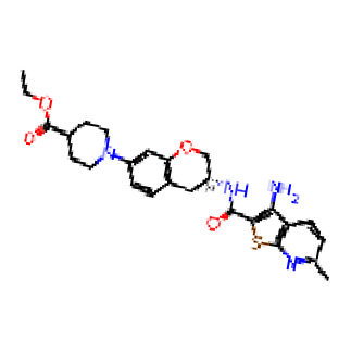 CCOC(=O)C1CCN(c2ccc3c(c2)OC[C@H](NC(=O)c2sc4nc(C)ccc4c2N)C3)CC1